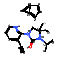 C#Cc1cccnc1N1CC(C)(C)N(C(C)C)C1=O.c1cc2cc-2c1